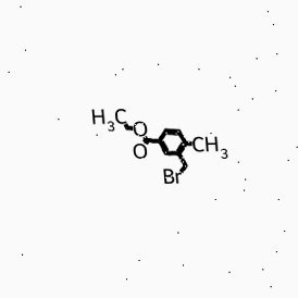 CCOC(=O)c1ccc(C)c(CBr)c1